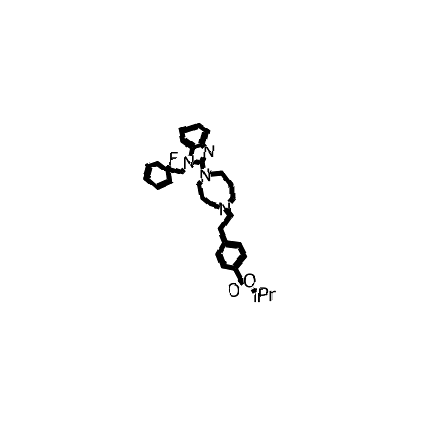 CC(C)OC(=O)c1ccc(CCN2CCCN(c3nc4ccccc4n3CC3(F)C=CC=CC3)CCC2)cc1